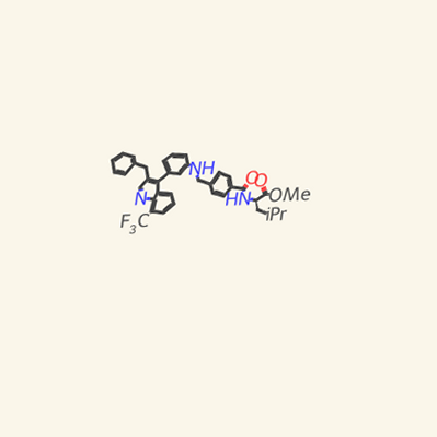 COC(=O)[C@@H](CC(C)C)NC(=O)c1ccc(CNc2cccc(-c3c(Cc4ccccc4)cnc4c(C(F)(F)F)cccc34)c2)cc1